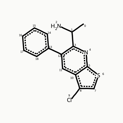 CC(N)c1nc2scc(Cl)c2cc1-c1ccccc1